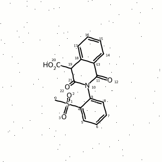 CS(=O)(=O)c1ccccc1N1C(=O)c2ccccc2C(C(=O)O)C1=O